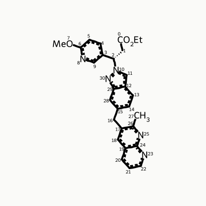 CCOC(=O)C[C@@H](c1ccc(OC)nc1)n1cc2ccc(Cc3cc4cccnc4nc3C)cc2n1